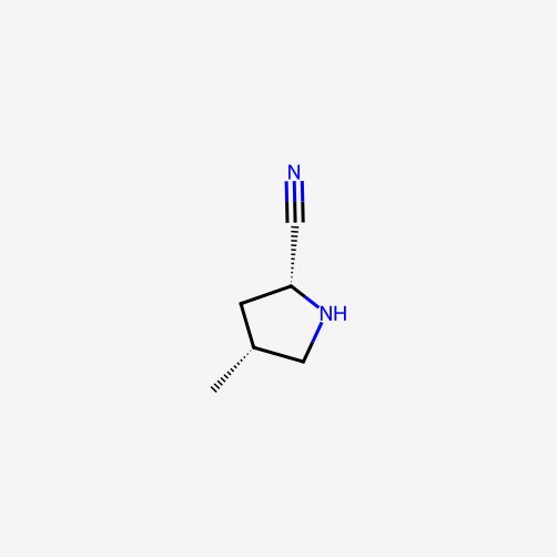 C[C@H]1CN[C@@H](C#N)C1